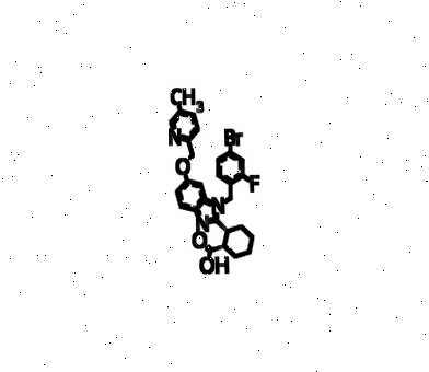 Cc1ccc(COc2ccc3nc([C@H]4CCCC[C@H]4C(=O)O)n(Cc4ccc(Br)cc4F)c3c2)nc1